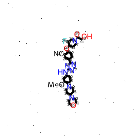 COc1cc(Nc2ncnc(-c3ccc(O[C@H]4CCN(C(=O)CO)C[C@H]4F)c(C#N)c3)n2)ccc1N1CCC(N2CCOCC2)CC1